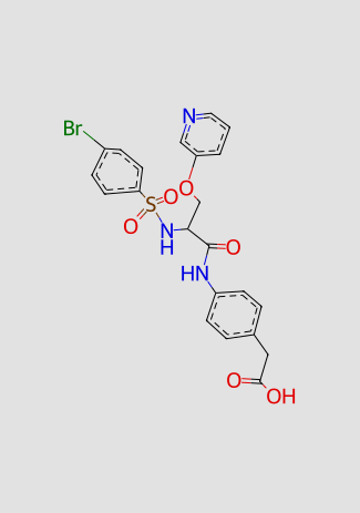 O=C(O)Cc1ccc(NC(=O)C(COc2cccnc2)NS(=O)(=O)c2ccc(Br)cc2)cc1